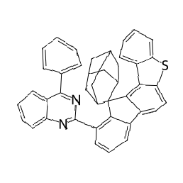 c1ccc(-c2nc(-c3cccc4c3C3(c5c-4ccc4sc6ccccc6c54)C4CC5CC(C4)CC3C5)nc3ccccc23)cc1